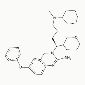 CN(CCC[C@@H](C1CCCOC1)N1Cc2cc(Oc3ccccc3)ccc2N=C1N)C1CCCCC1